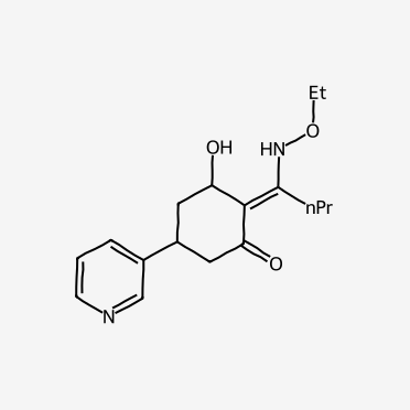 CCCC(NOCC)=C1C(=O)CC(c2cccnc2)CC1O